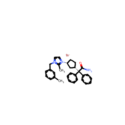 Cc1cccc(C[n+]2ccn([C@@H]3CC[C@H](C(C(N)=O)(c4ccccc4)c4ccccc4)C3)c2C)c1.[Br-]